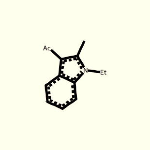 CCn1c(C)c(C(C)=O)c2c[c]ccc21